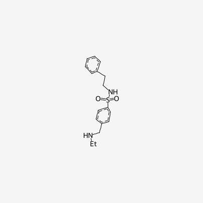 CCNCc1ccc(S(=O)(=O)NCCc2ccccc2)cc1